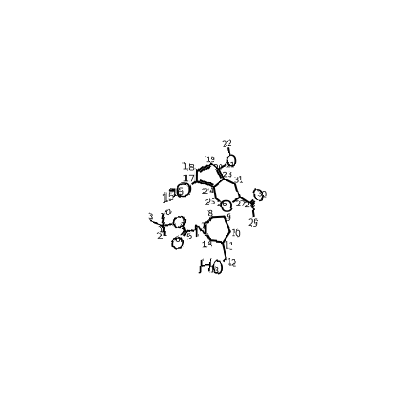 CC(C)(C)OC(=O)N1CCCC(CO)C1.COc1ccc(OC)c2c1COC(C(C)=O)C2